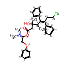 CN(C)C(COc1ccccc1)OC(=O)CC(O)(C(=O)O)C(C(=O)O)/C(=C(/CCCl)c1ccccc1)c1ccccc1